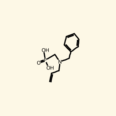 C=CCN(Cc1ccccc1)CP(=O)(O)O